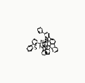 c1ccc(-c2ccc3c4ccc5c(c4n(-c4nc(-c6ccccc6)nc(-c6cccc7c6sc6ccccc67)n4)c3c2)C(c2ccccc2)(c2ccccc2)c2ccccc2-5)cc1